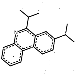 CC(C)c1ccc2c(c1)c(C(C)C)nc1ccccc12